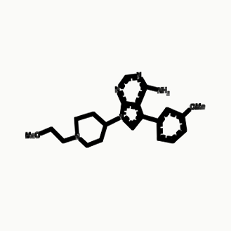 COCCN1CCC(n2cc(-c3cccc(OC)c3)c3c(N)ncnc32)CC1